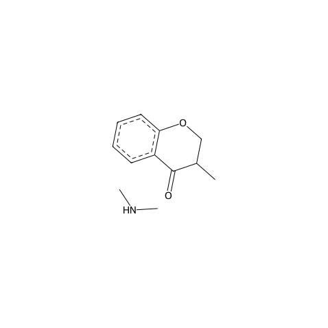 CC1COc2ccccc2C1=O.CNC